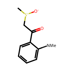 CNc1ccccc1C(=O)C[S+](C)[O-]